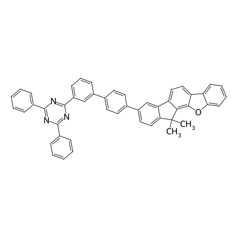 CC1(C)c2ccc(-c3ccc(-c4cccc(-c5nc(-c6ccccc6)nc(-c6ccccc6)n5)c4)cc3)cc2-c2ccc3c(oc4ccccc43)c21